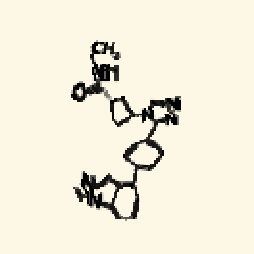 CCNC(=O)[C@H]1CCC(n2cnnc2-c2ccc(-c3cccc4[nH]ncc34)cc2)C1